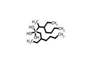 CCCCC(CC)CP(O)(O)(O)C(C)C(CC)CCCC